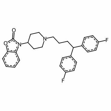 O=c1oc2ccccc2n1C1CCN(CCCC(c2ccc(F)cc2)c2ccc(F)cc2)CC1